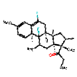 COC1=CC2=C(F)C[C@H]3[C@@H]4CC(C)[C@](OC(C)=O)(C(=O)COC(C)=O)[C@@]4(C)CC(OC(C)=O)[C@]3(F)[C@@]2(C)C=C1